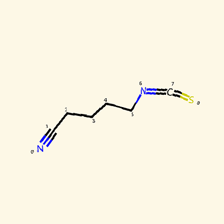 N#CCCCCN=C=S